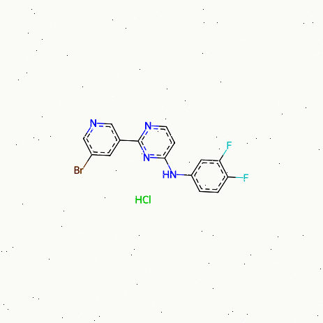 Cl.Fc1ccc(Nc2ccnc(-c3cncc(Br)c3)n2)cc1F